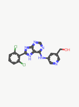 OCc1cncc(Nc2ncnc3nc(-c4c(Cl)cccc4Cl)[nH]c23)c1